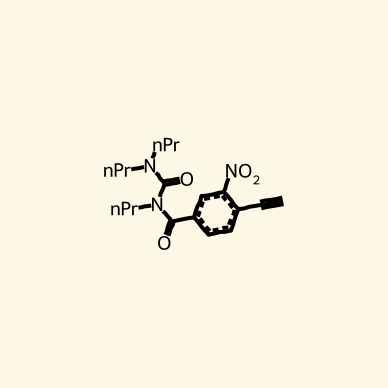 C#Cc1ccc(C(=O)N(CCC)C(=O)N(CCC)CCC)cc1[N+](=O)[O-]